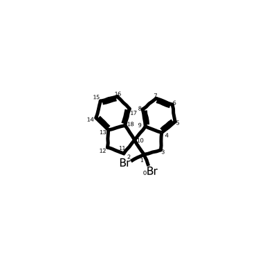 BrC1(Br)Cc2ccccc2C12CCc1ccccc12